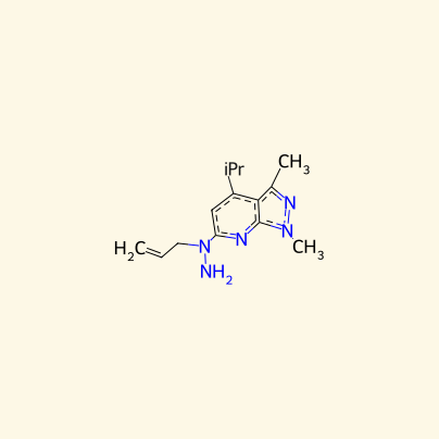 C=CCN(N)c1cc(C(C)C)c2c(C)nn(C)c2n1